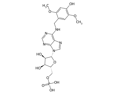 COc1cc(CNc2ncnc3c2ncn3[C@@H]2O[C@H](COP(=O)(O)O)[C@@H](O)[C@H]2O)c(OC)cc1O